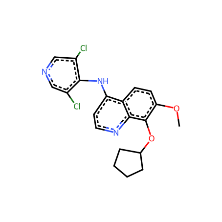 COc1ccc2c(Nc3c(Cl)cncc3Cl)ccnc2c1OC1CCCC1